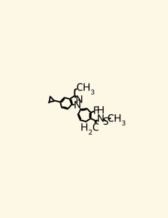 C=C(NSC)C1=C(F)C=C(n2nc(CC)c3cc(C4CC4)ccc32)C=CC1